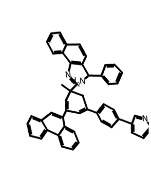 CC1(/C=N/c2c(C(N)c3ccccc3)ccc3ccccc23)C=C(c2cc3ccccc3c3ccccc23)C=C(c2ccc(-c3cccnc3)cc2)C1